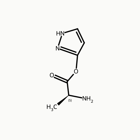 C[C@H](N)C(=O)Oc1cc[nH]n1